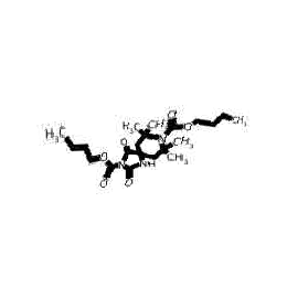 CCCCOC(=O)N1C(=O)NC2(CC(C)(C)N(C(=O)OCCCC)C(C)(C)C2)C1=O